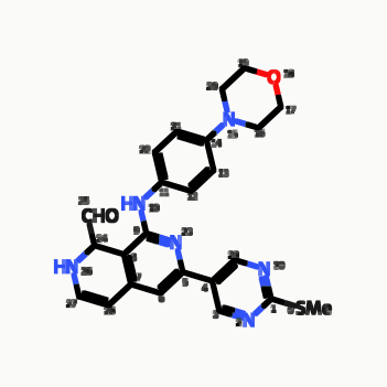 CSc1ncc(-c2cc3c(c(Nc4ccc(N5CCOCC5)cc4)n2)C(C=O)NC=C3)cn1